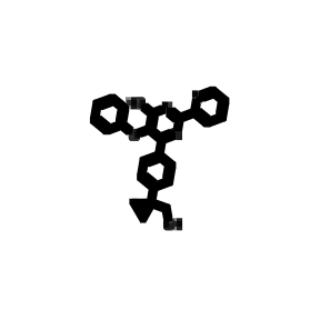 OCC1(c2ccc(-c3nc(-c4ccccn4)nc(O)c3Oc3ccccc3)cc2)CC1